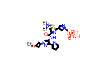 CCN(CC)CC.CCOC1CC(n2cc(NC(=O)c3csc(-c4cnn(COP(=O)(O)O)c4)n3)c(-c3ccccn3)n2)C1